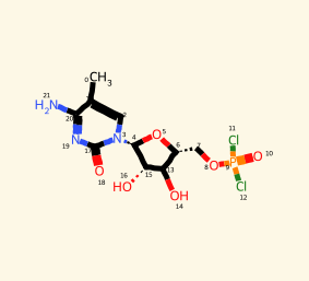 Cc1cn([C@@H]2O[C@H](COP(=O)(Cl)Cl)C(O)[C@@H]2O)c(=O)nc1N